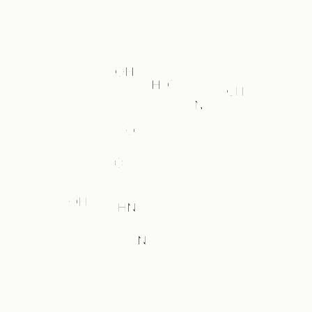 CN(C)C1CCc2cn[nH]c2C1.O=C(O)/C=C\C(=O)O